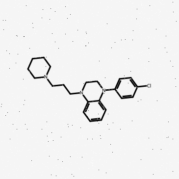 Clc1ccc(N2CCN(CCCN3CCCCC3)c3ccccc32)cc1